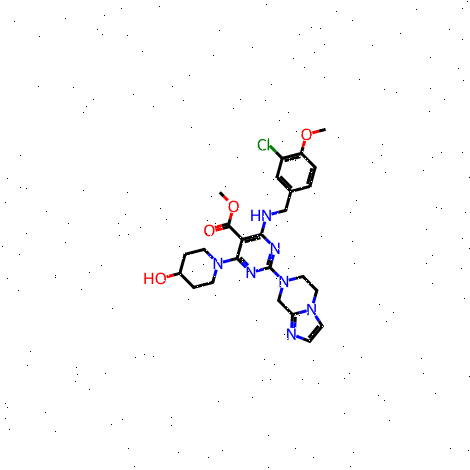 COC(=O)c1c(NCc2ccc(OC)c(Cl)c2)nc(N2CCn3ccnc3C2)nc1N1CCC(O)CC1